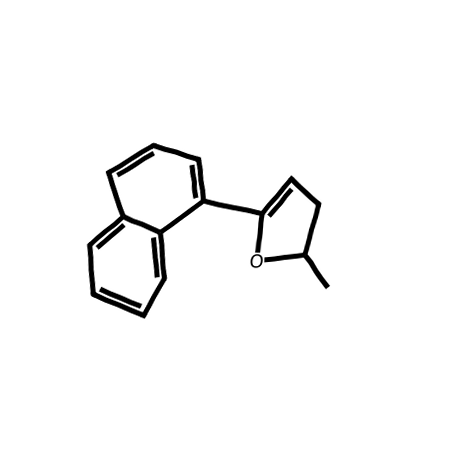 CC1CC=C(c2cccc3ccccc23)O1